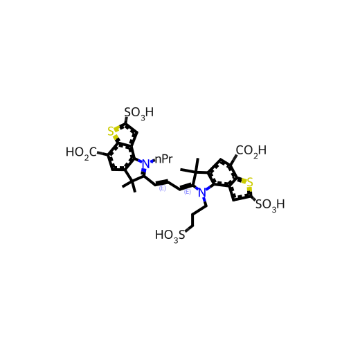 CCC[N+]1=C(/C=C/C=C2/N(CCCS(=O)(=O)O)c3c(cc(C(=O)O)c4sc(S(=O)(=O)O)cc34)C2(C)C)C(C)(C)c2cc(C(=O)O)c3sc(S(=O)(=O)O)cc3c21